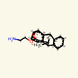 CC1(C(=O)OCCN)CC2c3ccccc3C1c1ccccc12